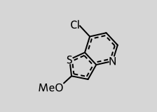 COc1cc2nccc(Cl)c2s1